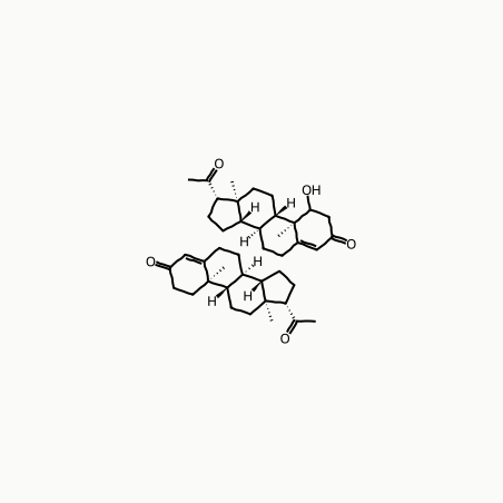 CC(=O)[C@H]1CC[C@H]2[C@@H]3CCC4=CC(=O)CC(O)[C@]4(C)[C@H]3CC[C@]12C.CC(=O)[C@H]1CC[C@H]2[C@@H]3CCC4=CC(=O)CC[C@]4(C)[C@H]3CC[C@]12C